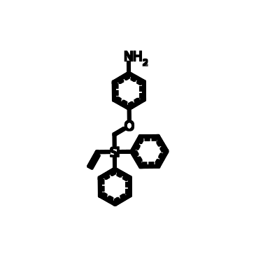 C=C[Si](COc1ccc(N)cc1)(c1ccccc1)c1ccccc1